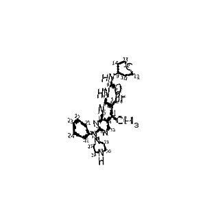 Cc1c(Br)c(NC(=O)NC2CCCCC2)nc2nc(N(c3ccccc3)N3CCNCC3)ncc12